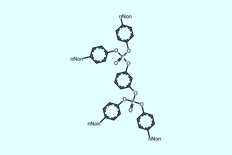 CCCCCCCCCc1ccc(OP(=O)(Oc2ccc(CCCCCCCCC)cc2)Oc2cccc(OP(=O)(Oc3ccc(CCCCCCCCC)cc3)Oc3ccc(CCCCCCCCC)cc3)c2)cc1